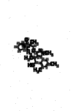 Cc1cc(C)cc(-c2c([C@H](C)CO)c(OCC(C)(C)C(=O)N3C4CCC3CC4)nn2C)c1